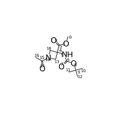 COC(=O)C1(NC(=O)OC(C)(C)C)CN(C(C)=O)C1